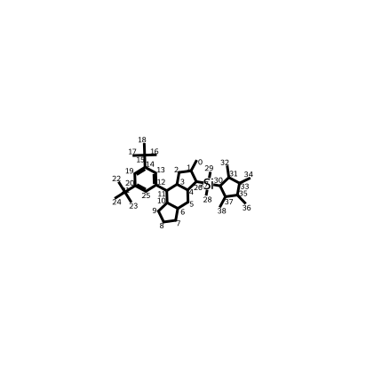 CC1CC2C(CC3CCCC3C2c2cc(C(C)(C)C)cc(C(C)(C)C)c2)C1[Si](C)(C)C1C(C)C(C)C(C)C1C